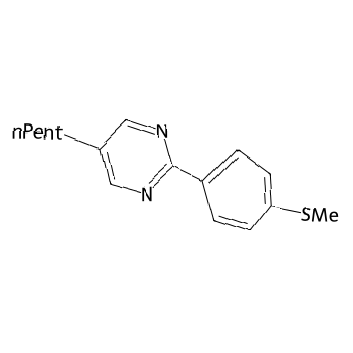 CCCCCc1cnc(-c2ccc(SC)cc2)nc1